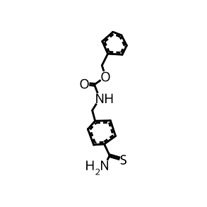 NC(=S)c1ccc(CNC(=O)OCc2ccccc2)cc1